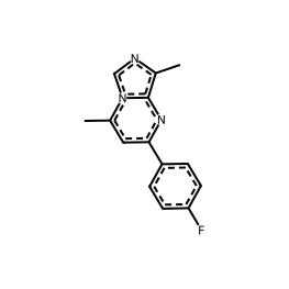 Cc1ncn2c(C)cc(-c3ccc(F)cc3)nc12